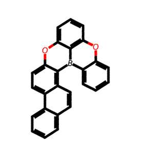 c1ccc2c(c1)Oc1cccc3c1B2c1c(ccc2c1ccc1ccccc12)O3